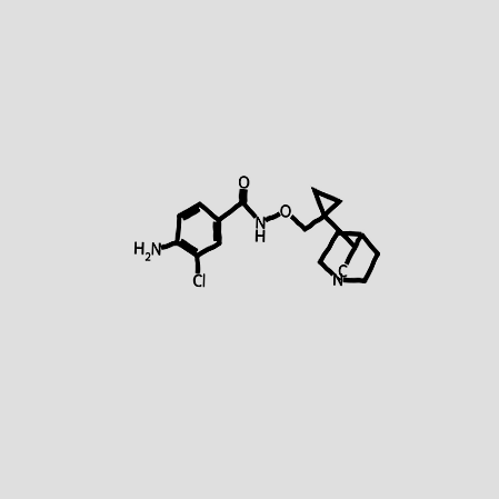 Nc1ccc(C(=O)NOCC2(C3CN4CCC3CC4)CC2)cc1Cl